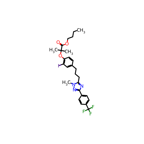 CCCCOC(=O)C(C)(C)Oc1ccc(CCCc2nc(-c3ccc(C(F)(F)F)cc3)nn2C)cc1I